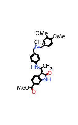 COC(=O)c1ccc2c(c1)NC(=O)C2=C(C)Nc1ccc(CN(C)Cc2ccc(OC)c(OC)c2)cc1